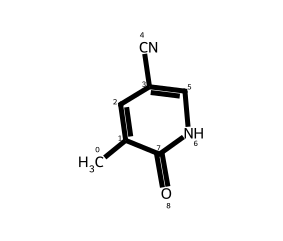 Cc1cc(C#N)c[nH]c1=O